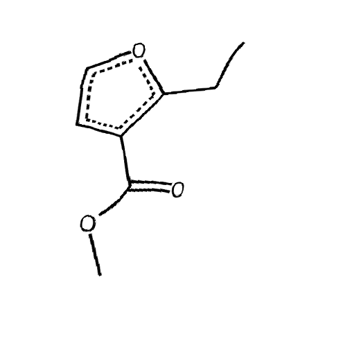 CCc1occc1C(=O)OC